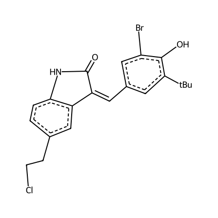 CC(C)(C)c1cc(C=C2C(=O)Nc3ccc(CCCl)cc32)cc(Br)c1O